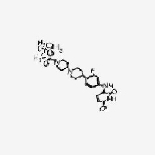 CC(C)(C)OC(=O)N1CCC(N2CCC(c3ccc(NC4CCC(=O)NC4=O)cc3F)CC2)CC1